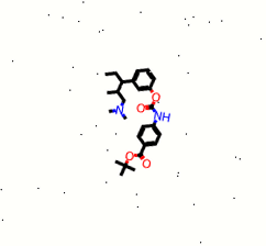 CCC(c1cccc(OC(=O)Nc2ccc(C(=O)OC(C)(C)C)cc2)c1)C(C)CN(C)C